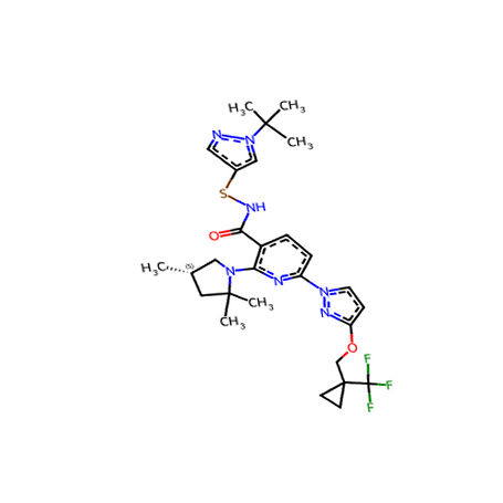 C[C@@H]1CN(c2nc(-n3ccc(OCC4(C(F)(F)F)CC4)n3)ccc2C(=O)NSc2cnn(C(C)(C)C)c2)C(C)(C)C1